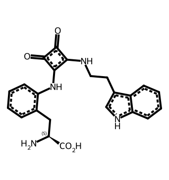 N[C@@H](Cc1ccccc1Nc1c(NCCc2c[nH]c3ccccc23)c(=O)c1=O)C(=O)O